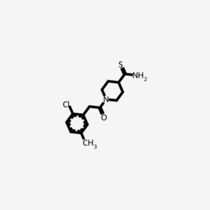 Cc1ccc(Cl)c(CC(=O)N2CCC(C(N)=S)CC2)c1